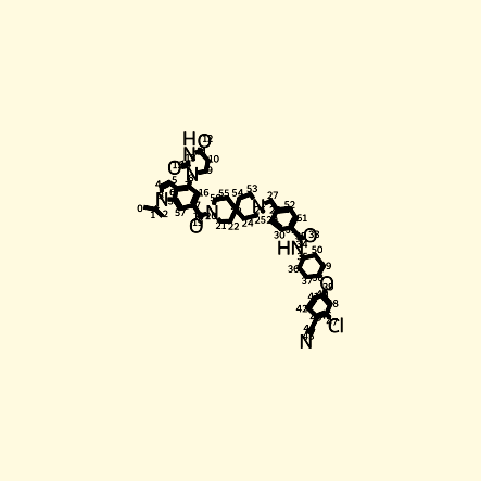 CC(C)n1ccc2c(N3CCC(=O)NC3=O)cc(C(=O)N3CCC4(CCN(Cc5ccc(C(=O)NC6CCC(Oc7ccc(C#N)c(Cl)c7)CC6)cc5)CC4)CC3)cc21